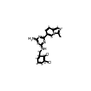 Cc1ncc2ccc(-c3nc(N)nc(NCc4cccc(Cl)c4Cl)n3)cn12